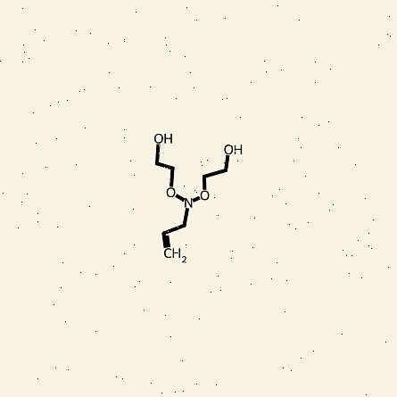 C=CCN(OCCO)OCCO